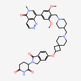 COc1cc(-c2cn(C)c(=O)c3ccnnc23)cc(OC)c1CN1CCC(CN2CCC3(CC2)CC(Oc2ccc4c(c2)CN(C2CCC(=O)NC2=O)C4=O)C3)CC1